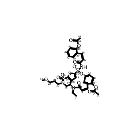 CCN(C(=O)/C=C\c1ccccc1OC(C)=O)[C@H]1CN(CCCOC)S(=O)(=O)c2sc(S(=O)(=O)NC(=O)/C=C\c3ccccc3OC(C)=O)cc21